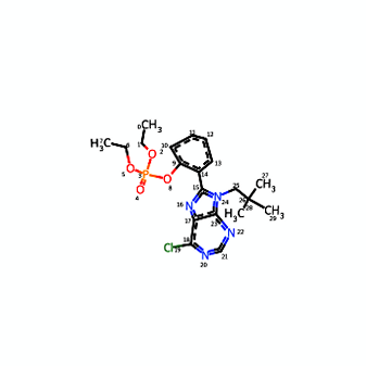 CCOP(=O)(OCC)Oc1ccccc1-c1nc2c(Cl)ncnc2n1CC(C)(C)C